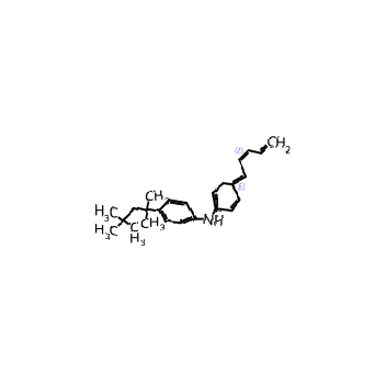 C=C/C=C\C=C1\C=CC(Nc2ccc(C(C)(C)CC(C)(C)C)cc2)=CC1